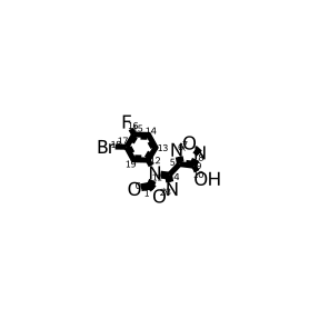 O=c1onc(-c2nonc2O)n1-c1ccc(F)c(Br)c1